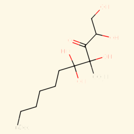 CCCCCCCCCCCCCCCC(O)(O)C(O)(C(=O)O)C(=O)C(O)CO